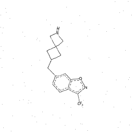 FC(F)(F)c1noc2cc(CC3CC4(CNC4)C3)ccc12